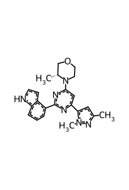 Cc1cc(-c2cc(N3CCOC[C@H]3C)nc(-c3cccc4[nH]ccc34)n2)n(C)n1